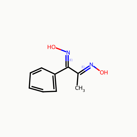 CC(=N\O)/C(=N/O)c1ccccc1